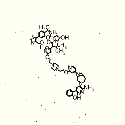 CC(C)C(C(=O)N1C[C@H](O)C[C@H]1C(=O)N[C@@H](C)c1ccc(-c2scnc2CO)cc1)c1cc(OCCN2CCN(CCOc3cc(N4CC5CCN(c6cc(-c7ccccc7O)nnc6N)CC4C5)ccn3)CC2)no1